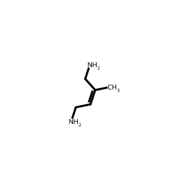 C/C(=C/CN)CN